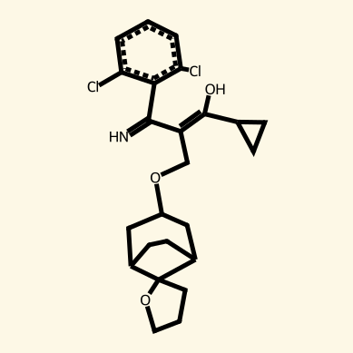 N=C(/C(COC1CC2CCC(C1)C21CCCO1)=C(\O)C1CC1)c1c(Cl)cccc1Cl